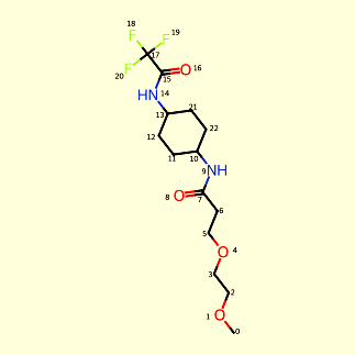 COCCOCCC(=O)NC1CCC(NC(=O)C(F)(F)F)CC1